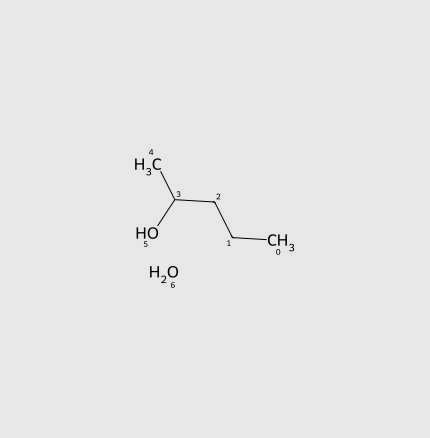 CCCC(C)O.O